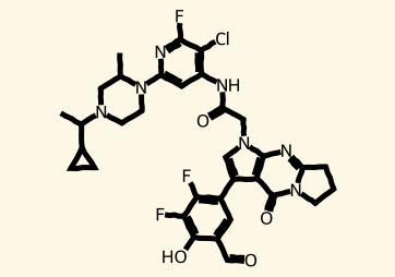 CC(C1CC1)N1CCN(c2cc(NC(=O)Cn3cc(-c4cc(C=O)c(O)c(F)c4F)c4c(=O)n5c(nc43)CCC5)c(Cl)c(F)n2)C(C)C1